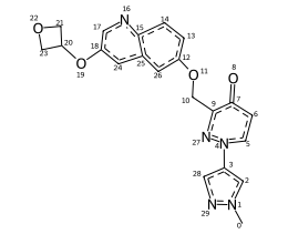 Cn1cc(-n2ccc(=O)c(COc3ccc4ncc(OC5COC5)cc4c3)n2)cn1